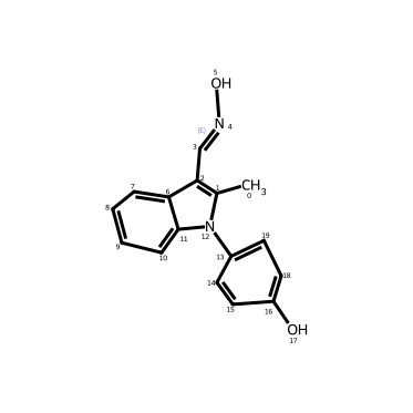 Cc1c(/C=N/O)c2ccccc2n1-c1ccc(O)cc1